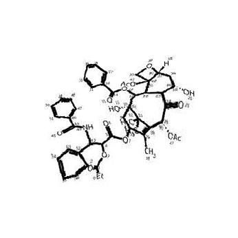 CCC(=O)OC(C(=O)OC1C[C@@]2(O)C(OC(=O)c3ccccc3)C3C(C(=O)[C@H](OC(C)=O)C(=C1C)C2(C)C)[C@@H](O)C[C@H]1OC[C@@]31OC(C)=O)C(NC(=O)c1ccccc1)c1ccccc1